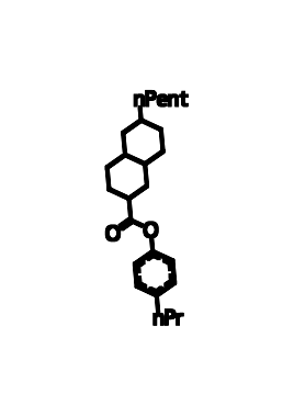 CCCCCC1CCC2CC(C(=O)Oc3ccc(CCC)cc3)CCC2C1